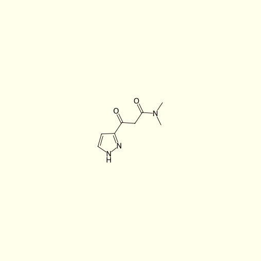 CN(C)C(=O)CC(=O)c1cc[nH]n1